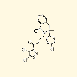 CC1(c2ccc(Cl)cc2)Cc2ccccc2C(=O)N1CCCC(=O)c1nsc(Cl)c1Cl